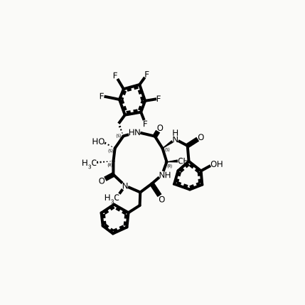 C[C@H]1NC(=O)C(Cc2ccccc2)N(C)C(=O)[C@H](C)[C@H](O)[C@H](Cc2c(F)c(F)c(F)c(F)c2F)NC(=O)[C@H]1NC(=O)c1ccccc1O